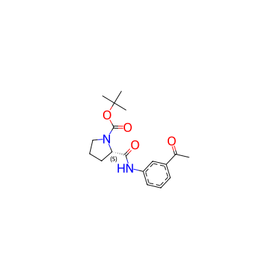 CC(=O)c1cccc(NC(=O)[C@@H]2CCCN2C(=O)OC(C)(C)C)c1